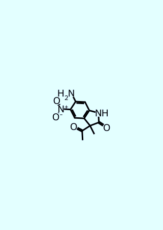 CC(=O)C1(C)C(=O)Nc2cc(N)c([N+](=O)[O-])cc21